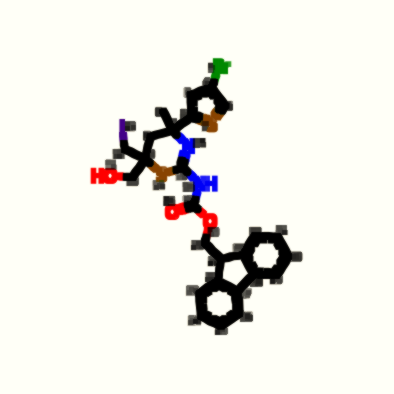 CC1(c2cc(Br)cs2)CC(CO)(CI)SC(NC(=O)OCC2c3ccccc3-c3ccccc32)=N1